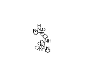 O=C(CN1C(=O)C2(CCCC2)N=C1c1ccccn1)Nc1ccc2c(c1)C[C@@]1(C2)C(=O)Nc2ncccc21